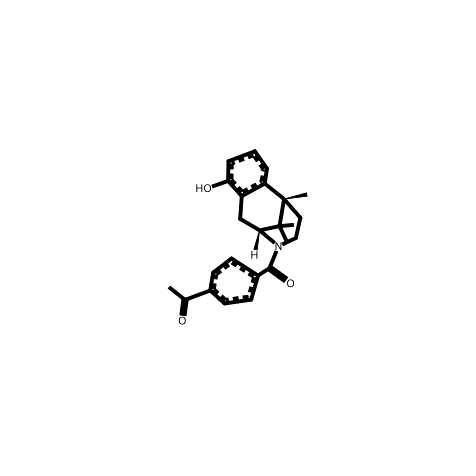 CC(=O)c1ccc(C(=O)N2CC[C@@]3(C)c4cccc(O)c4C[C@@H]2C3(C)C)cc1